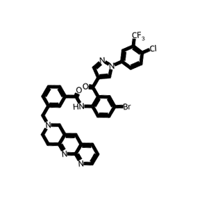 O=C(Nc1ccc(Br)cc1C(=O)c1cnn(-c2ccc(Cl)c(C(F)(F)F)c2)c1)c1cccc(CN2CCc3nc4ncccc4cc3C2)c1